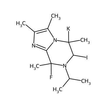 Cc1nc2n(c1C)[C](C)([K])C(I)N(C(C)C)C2(C)F